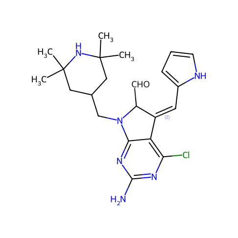 CC1(C)CC(CN2c3nc(N)nc(Cl)c3/C(=C/c3ccc[nH]3)C2C=O)CC(C)(C)N1